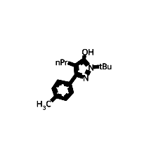 CCCc1c(-c2ccc(C)cc2)nn(C(C)(C)C)c1O